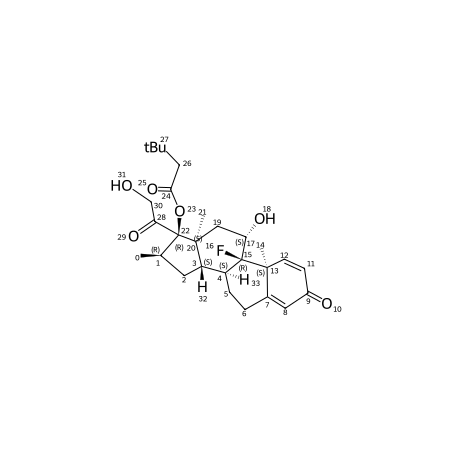 C[C@@H]1C[C@H]2[C@@H]3CCC4=CC(=O)C=C[C@]4(C)[C@@]3(F)[C@@H](O)C[C@]2(C)[C@@]1(OC(=O)CC(C)(C)C)C(=O)CO